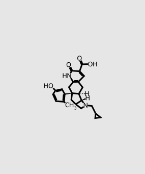 Cc1ccc(O)cc1[C@@]12Cc3[nH]c(=O)c(C(=O)O)cc3C[C@H]1[C@H]1C(CN1CC1CC1)C2